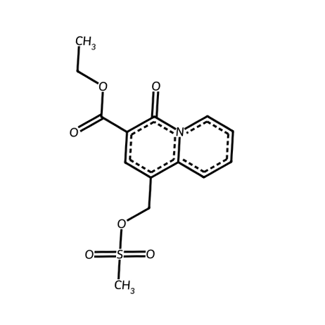 CCOC(=O)c1cc(COS(C)(=O)=O)c2ccccn2c1=O